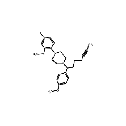 CC#CCCCC(c1ccc(OC)cc1)N1CCN(c2ccc(F)cc2OC)CC1